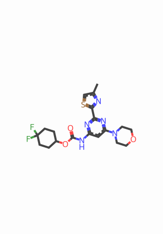 Cc1csc(-c2nc(NC(=O)OC3CCC(F)(F)CC3)cc(N3CCOCC3)n2)n1